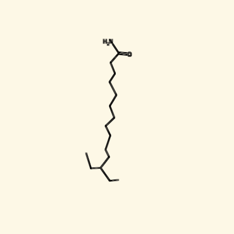 CCC(CC)CCCCCCCCCCC(N)=O